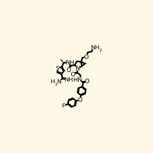 C[C@@H](NC(=O)C1CC2(COCCN)CC2N1C(=O)CNC(=O)c1ccc(Oc2ccc(F)cc2)cc1)c1cc(C(=N)N)cs1